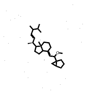 COC(/C=C1\CCCC2(C)C1CCC2[C@@H](C)/C=C/C(C)C(C)C)C12CCCC1C2